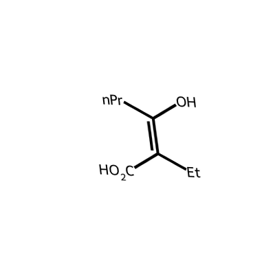 CCCC(O)=C(CC)C(=O)O